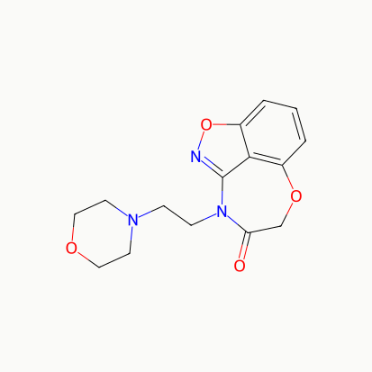 O=C1COc2cccc3onc(c23)N1CCN1CCOCC1